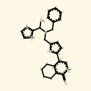 CC(c1ncc[nH]1)N(Cc1ccccc1)Cc1ccc(-c2c[nH]c(=O)c3c2CCCC3)o1